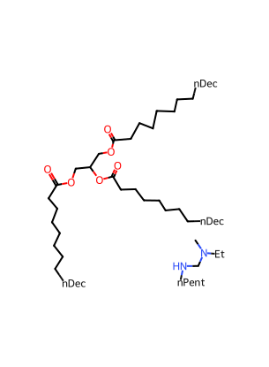 CCCCCCCCCCCCCCCCCC(=O)OCC(COC(=O)CCCCCCCCCCCCCCCCC)OC(=O)CCCCCCCCCCCCCCCCC.CCCCCNCN(C)CC